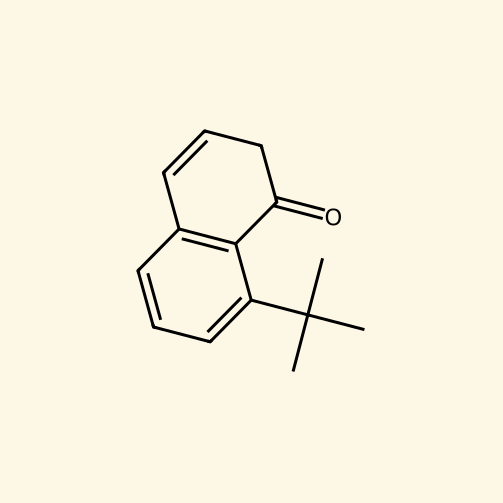 CC(C)(C)c1cccc2c1C(=O)CC=C2